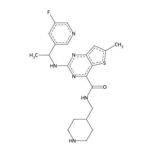 Cc1cc2nc(NC(C)c3cncc(F)c3)nc(C(=O)NCC3CCNCC3)c2s1